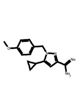 COc1ccc(Cn2nc(C(=N)N)cc2C2CC2)cc1